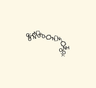 CC(C)(C)OC(=O)Nc1ccc(CN2CCN(c3ccc(OC[C@@H]4CCn5cc([N+](=O)[O-])nc5O4)cc3)CC2)cc1